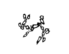 c1ccc(N(c2ccccc2)c2ccc(N(c3ccc(-n4c(-c5ccc6ccccc6c5)cc5cc6c(cc(-c7ccc8ccccc8c7)n6-c6ccc(N(c7ccc(N(c8ccccc8)c8ccccc8)cc7)c7cccc8ccccc78)cc6)cc54)cc3)c3cccc4ccccc34)cc2)cc1